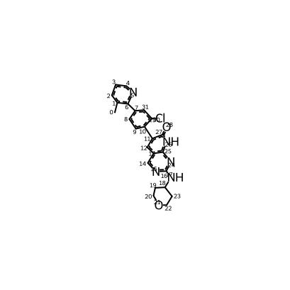 Cc1cccnc1-c1ccc(-c2cc3cnc(NC4CCOCC4)nc3[nH]c2=O)c(Cl)c1